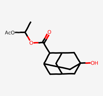 CC(=O)OC(C)OC(=O)C1C2CC3CC1CC(O)(C3)C2